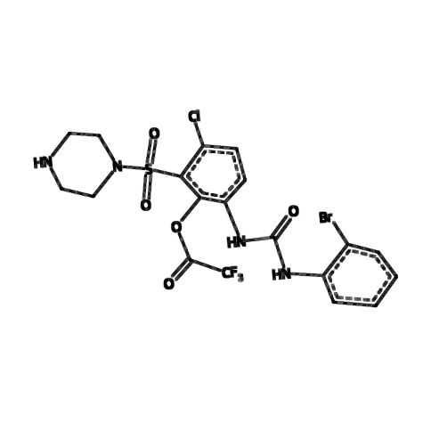 O=C(Nc1ccccc1Br)Nc1ccc(Cl)c(S(=O)(=O)N2CCNCC2)c1OC(=O)C(F)(F)F